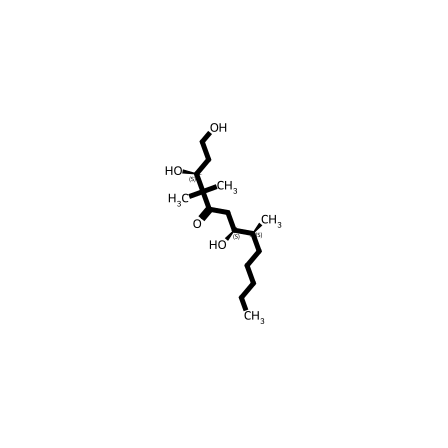 CCCCC[C@H](C)[C@@H](O)CC(=O)C(C)(C)[C@@H](O)CCO